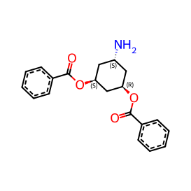 N[C@@H]1C[C@@H](OC(=O)c2ccccc2)C[C@@H](OC(=O)c2ccccc2)C1